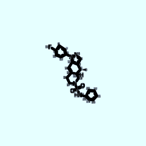 C[C@H]1c2cnn(-c3ccc(F)cc3)c2C=C2CCN(S(=O)(=O)Nc3ccccc3)C[C@H]21